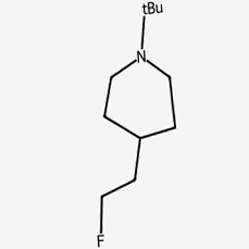 CC(C)(C)N1CCC(CCF)CC1